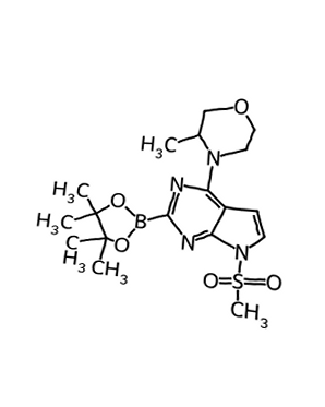 CC1COCCN1c1nc(B2OC(C)(C)C(C)(C)O2)nc2c1ccn2S(C)(=O)=O